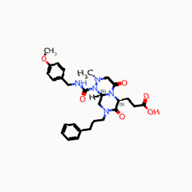 COc1ccc(CNC(=O)N2[C@H]3CN(CCCc4ccccc4)C(=O)[C@H](CCC(=O)O)N3C(=O)CN2C)cc1